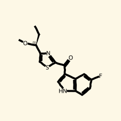 CC[C@H](OC)c1csc(C(=O)c2c[nH]c3ccc(F)cc23)n1